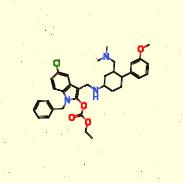 CCOC(=O)Oc1c(CNC2CCC(c3cccc(OC)c3)C(CN(C)C)C2)c2cc(Cl)ccc2n1Cc1ccccc1